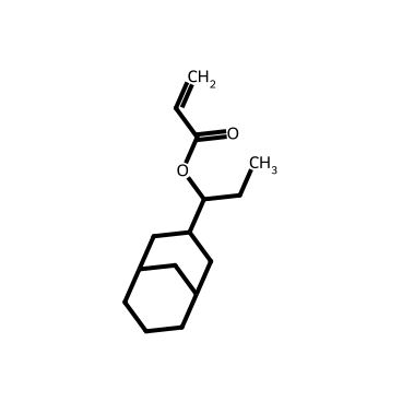 C=CC(=O)OC(CC)C1CC2CCCC(C2)C1